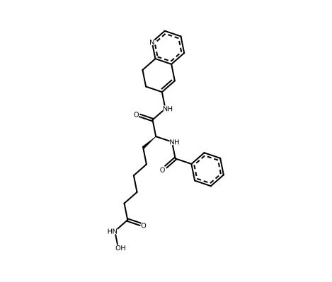 O=C(CCCCC[C@H](NC(=O)c1ccccc1)C(=O)NC1=Cc2cccnc2CC1)NO